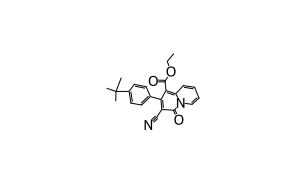 CCOC(=O)c1c(-c2ccc(C(C)(C)C)cc2)c(C#N)c(=O)n2ccccc12